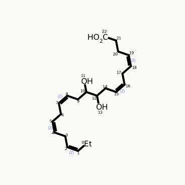 CC/C=C\C/C=C\C/C=C\CC(O)C(O)C/C=C\C/C=C\CCC(=O)O